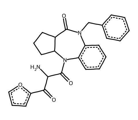 NC(C(=O)c1ccco1)C(=O)N1c2ccccc2N(Cc2ccccc2)C(=O)C2CCCC21